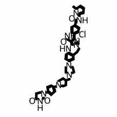 Cc1cccc(NC(=O)c2ccc(-c3nn4c(c3C(N)=O)Nc3ccc(N5CCN(CC6CCN(c7ccc(N8CCC(=O)NC8=O)cc7)CC6)CC5)cc3CC4)c(Cl)c2)n1